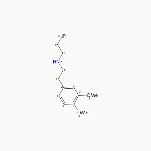 COc1ccc(CCNCCC(C)C)cc1OC